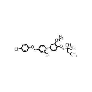 CCC(C)(O)COc1ccc(-n2ccc(COc3ccc(Cl)cc3)cc2=O)cc1OC